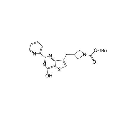 CC(C)(C)OC(=O)N1CC(Cc2csc3c(O)nc(-c4ccccn4)nc23)C1